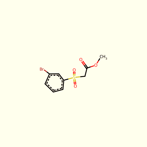 COC(=O)CS(=O)(=O)c1cccc(Br)c1